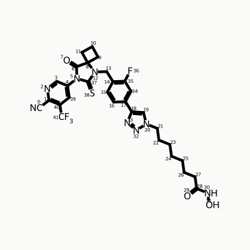 N#Cc1ncc(N2C(=O)C3(CCC3)N(Cc3ccc(-c4cn(CCCCCCCC(=O)NO)nn4)cc3F)C2=S)cc1C(F)(F)F